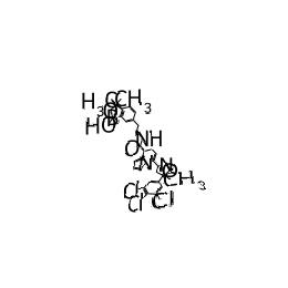 CC1(C)OB(O)c2cc(CCNC(=O)c3ccc(C4=NOC(C)(c5cc(Cl)c(Cl)c(Cl)c5)C4)n4cccc34)ccc21